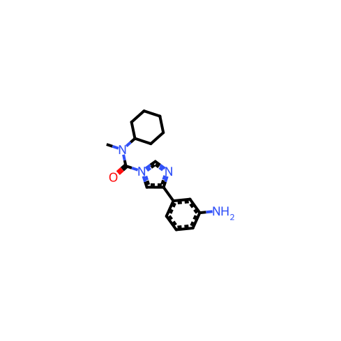 CN(C(=O)n1cnc(-c2cccc(N)c2)c1)C1CCCCC1